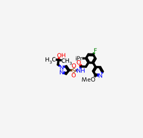 COc1cc(-c2cc(F)cc(C(C)C)c2CC(=O)NS(=O)(=O)c2cnn(CC(C)(C)O)c2)ccn1